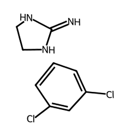 Clc1cccc(Cl)c1.N=C1NCCN1